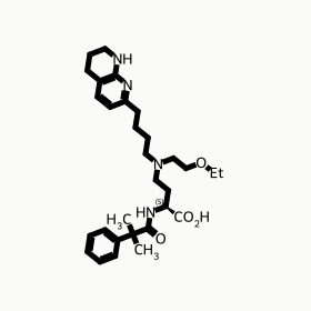 CCOCCN(CCCCc1ccc2c(n1)NCCC2)CC[C@H](NC(=O)C(C)(C)c1ccccc1)C(=O)O